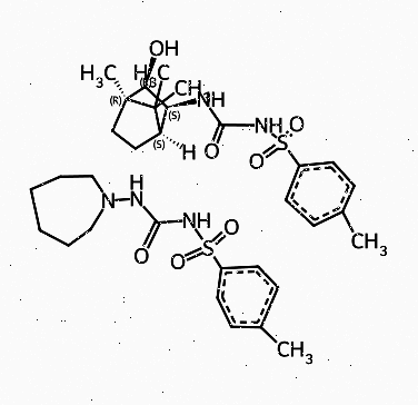 Cc1ccc(S(=O)(=O)NC(=O)NN2CCCCCC2)cc1.Cc1ccc(S(=O)(=O)NC(=O)N[C@H]2[C@H]3CC[C@@](C)([C@H]2O)C3(C)C)cc1